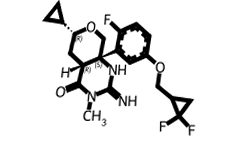 CN1C(=N)N[C@@]2(c3cc(OCC4CC4(F)F)ccc3F)CO[C@@H](C3CC3)C[C@H]2C1=O